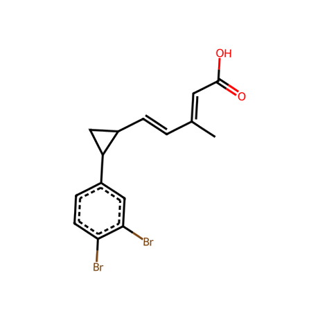 CC(C=CC1CC1c1ccc(Br)c(Br)c1)=CC(=O)O